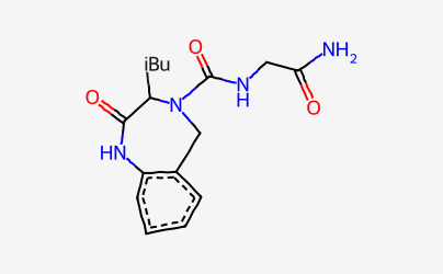 CCC(C)C1C(=O)Nc2ccccc2CN1C(=O)NCC(N)=O